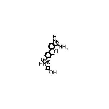 Cc1cc(S(=O)(=O)N[C@H]2C[C@@H](O)C2)ccc1-c1ccc2[nH]nc(N)c2c1Cl